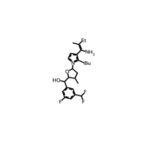 CC/C(C)=C(\N)c1ccn(C2CC(C)C(C(O)c3cc(F)cc(C(F)F)c3)O2)c1C(C)CC